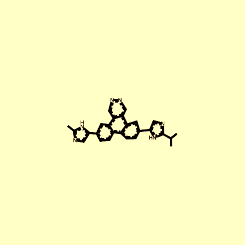 Cc1ncc(-c2ccc3c4ccc(-c5cnc(C(C)C)[nH]5)cc4c4cnncc4c3c2)[nH]1